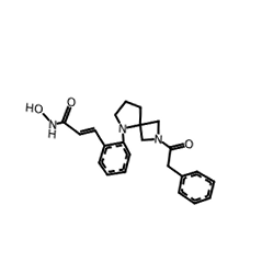 O=C(/C=C/c1ccccc1N1CCCC12CN(C(=O)Cc1ccccc1)C2)NO